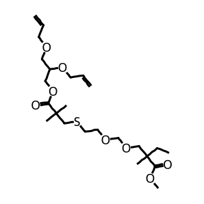 C=CCOCC(COC(=O)C(C)(C)CSCCOCOCC(C)(CC)C(=O)OC)OCC=C